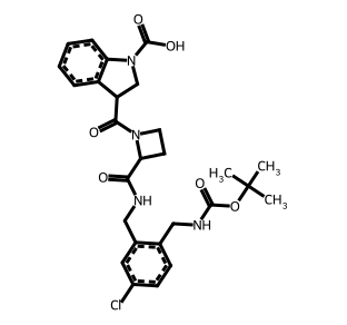 CC(C)(C)OC(=O)NCc1ccc(Cl)cc1CNC(=O)C1CCN1C(=O)C1CN(C(=O)O)c2ccccc21